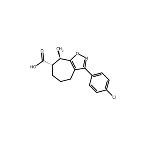 C[C@H]1c2onc(-c3ccc(Cl)cc3)c2CCC[C@@H]1C(=O)O